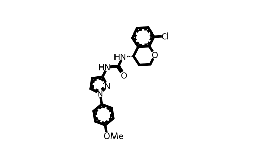 COc1ccc(-n2ccc(NC(=O)N[C@H]3CCOc4c(Cl)cccc43)n2)cc1